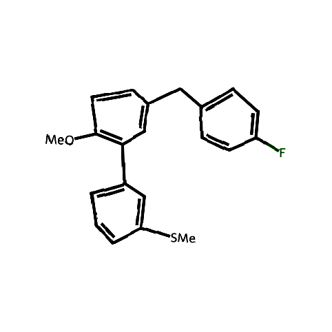 COc1ccc(Cc2ccc(F)cc2)cc1-c1cccc(SC)c1